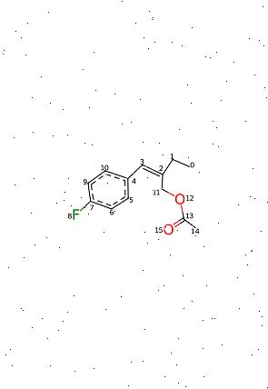 CCC(=Cc1ccc(F)cc1)COC(C)=O